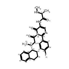 CN[C@@H](C)C(=O)Nc1cnc(-c2ccc(F)cc2)n(C(=O)CN(C)[C@@H]2CCCc3ccccc32)c1=O